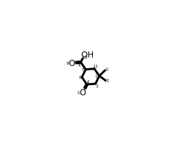 CC1(C)CC(=O)CC(C(=O)O)C1